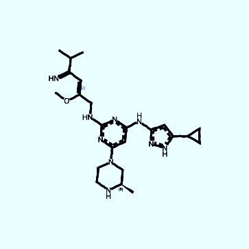 CO/C(=C\C(=N)C(C)C)CNc1nc(Nc2cc(C3CC3)[nH]n2)cc(N2CCN[C@H](C)C2)n1